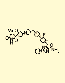 COc1cc(N2CCC(CN3CCN(c4ccc(Nc5nc(N6CCCCC6)nnc5C(N)=O)cc4F)CC3)CC2)ccc1N1CCC(=O)NC1=O